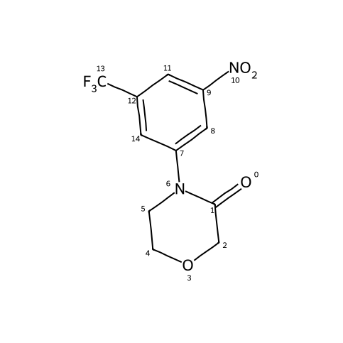 O=C1COCCN1c1cc([N+](=O)[O-])cc(C(F)(F)F)c1